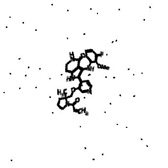 C=CC(=O)N1CCC[C@]1(C)COc1cnccc1-c1[nH]c2c(c1Nc1cccc(F)c1OC)C(=O)NCC2